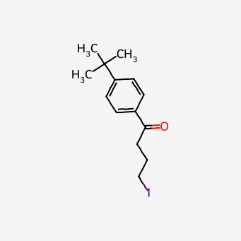 CC(C)(C)c1ccc(C(=O)CCCI)cc1